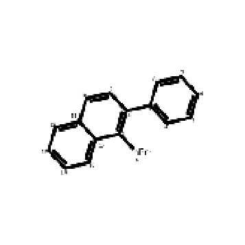 CC[CH]c1c(-c2ccccc2)ccc2ccccc12